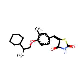 Cc1cc(C=C2SC(=O)NC2=O)ccc1OCC(C)C1CCCCC1